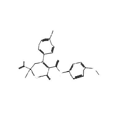 COc1ccc(NC(=O)C2=C(c3ccc(C)cc3)CC(C)(C(=O)O)NC2=O)cc1